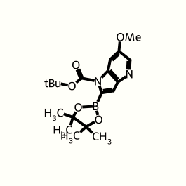 COc1cnc2cc(B3OC(C)(C)C(C)(C)O3)n(C(=O)OC(C)(C)C)c2c1